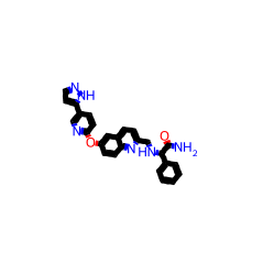 NC(=O)C(NCc1ccc2cc(Oc3ccc(-c4ccn[nH]4)cn3)ccc2n1)c1ccccc1